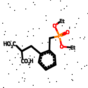 CCOP(=O)(Cc1ccccc1CC(C(=O)O)C(=O)O)OCC